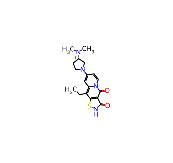 CCc1c2s[nH]c(=O)c2c(=O)n2ccc(N3CC[C@H](N(C)C)C3)cc12